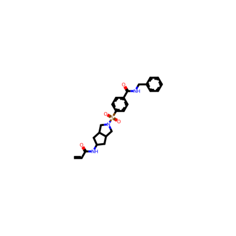 C=CC(=O)NC1CC2CN(S(=O)(=O)c3ccc(C(=O)NCc4ccccc4)cc3)CC2C1